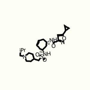 CC(C)CN1CCC(CS(=O)(=O)N[C@H]2CC=CC[C@H](NC(=O)c3cc(C4CC4)on3)C2)CC1